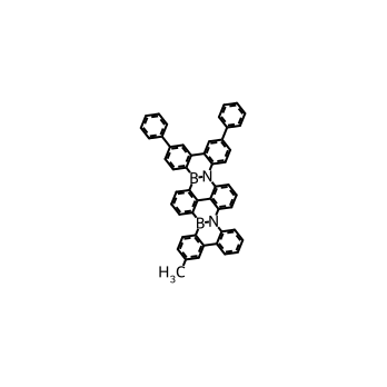 Cc1ccc2c(c1)-c1ccccc1N1B2c2cccc3c2-c2c1cccc2N1B3c2ccc(-c3ccccc3)cc2-c2cc(-c3ccccc3)ccc21